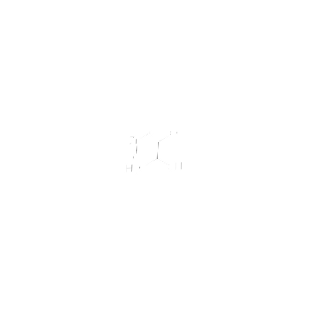 CC(C)CO.[Cl][Zr][Cl]